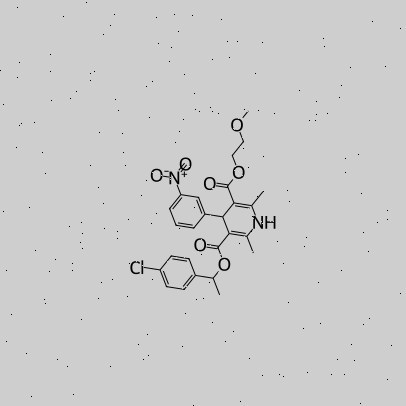 COCCOC(=O)C1=C(C)NC(C)=C(C(=O)OC(C)c2ccc(Cl)cc2)C1c1cccc([N+](=O)[O-])c1